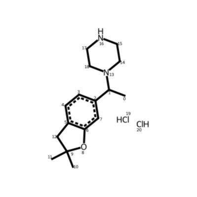 CC(c1ccc2c(c1)OC(C)(C)C2)N1CCNCC1.Cl.Cl